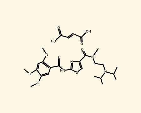 COc1cc(OC)c(C(=O)Nc2nc(C(=O)N(C)CCN(C(C)C)C(C)C)cs2)cc1OC.O=C(O)C=CC(=O)O